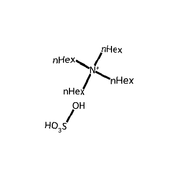 CCCCCC[N+](CCCCCC)(CCCCCC)CCCCCC.O=S(=O)(O)O